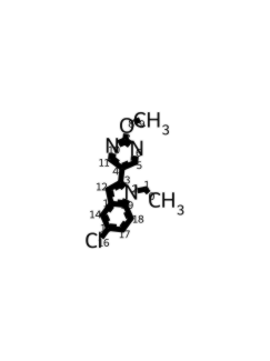 CCn1c(-c2cnc(OC)nc2)cc2cc(Cl)ccc21